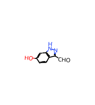 O=Cc1n[nH]c2cc(O)ccc12